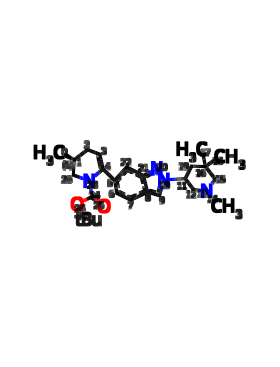 C[C@H]1CC=C(c2ccc3cn(C4CN(C)CC(C)(C)C4)nc3c2)N(C(=O)OC(C)(C)C)C1